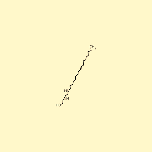 CCCCCCCCC=CCCCCCCCCNCCNCCO